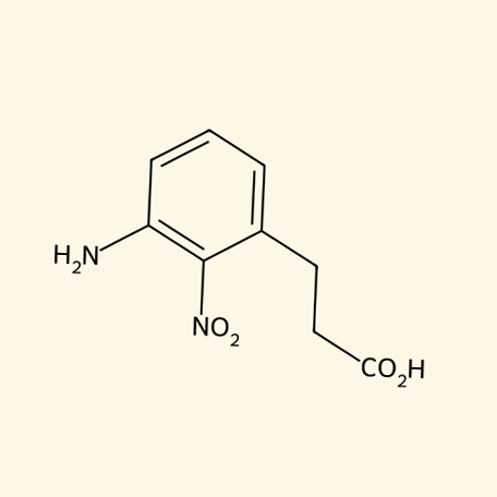 Nc1cccc(CCC(=O)O)c1[N+](=O)[O-]